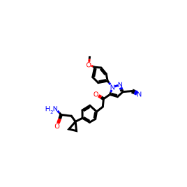 COc1ccc(-n2nc(C#N)cc2C(=O)Cc2ccc(C3(CC(N)=O)CC3)cc2)cc1